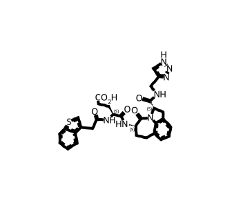 O=C(O)CC[C@H](NC(=O)Cc1csc2ccccc12)C(=O)N[C@H]1CCc2cccc3c2N(C1=O)[C@H](C(=O)NCc1c[nH]nn1)C3